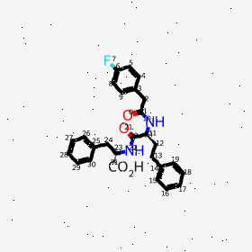 O=C(Cc1ccc(F)cc1)N[C@@H](CCc1ccccc1)C(=O)N[C@@H](Cc1ccccc1)C(=O)O